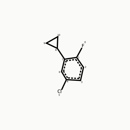 Fc1ccc(Cl)cc1C1CC1